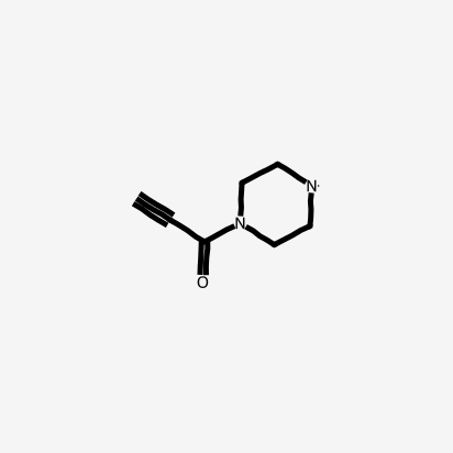 C#CC(=O)N1CC[N]CC1